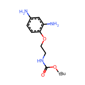 CC(C)(C)OC(=O)NCCOc1ccc(N)cc1N